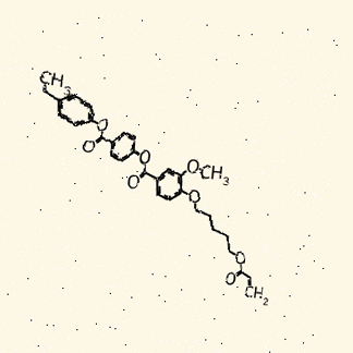 C=CC(=O)OCCCCCOc1ccc(C(=O)Oc2ccc(C(=O)Oc3ccc(CC)cc3)cc2)cc1OC